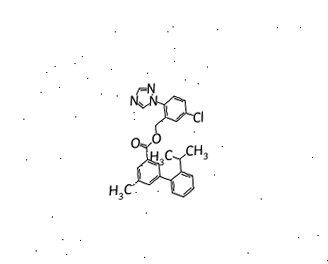 Cc1cc(C(=O)OCc2cc(Cl)ccc2-n2cncn2)cc(-c2ccccc2C(C)C)c1